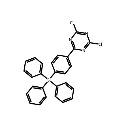 Clc1nc(Cl)nc(-c2ccc([Si](c3ccccc3)(c3ccccc3)c3ccccc3)cc2)n1